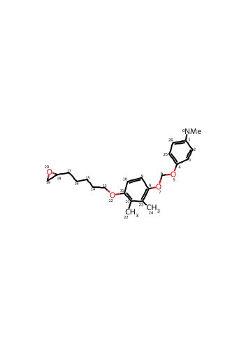 CNc1ccc(OCOc2ccc(OCCCCCC3CO3)c(C)c2C)cc1